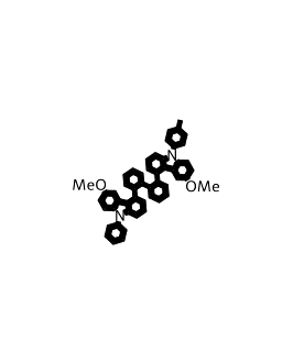 COc1ccc2c(c1)c1c(-c3ccccc3-c3ccccc3-c3cccc4c3c3cc(OC)ccc3n4-c3ccc(C)cc3)cccc1n2-c1ccccc1